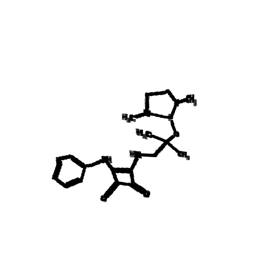 CN1CCN(C)P1OC(C)(C)CNc1c(Nc2ccccc2)c(=O)c1=O